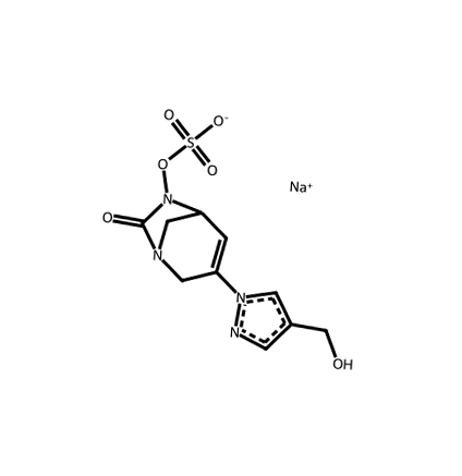 O=C1N2CC(n3cc(CO)cn3)=CC(C2)N1OS(=O)(=O)[O-].[Na+]